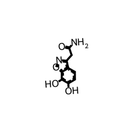 NC(=O)Cc1noc2c(O)c(O)ccc12